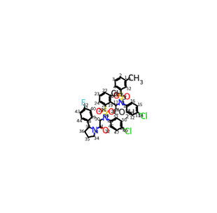 Cc1cccc(S(=O)(=O)N(c2ccc(Cl)cc2)C(C(=O)O)c2c(C)cccc2S(=O)(=O)N(CC(=O)N2CCCC2c2ccc(F)cc2)c2ccc(Cl)cc2)c1